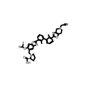 Cc1c(-c2nc3c(o2)CCN(CC#N)C3)cccc1-c1cccc(-c2nc3cc(CN4CCC[C@H]4C(=O)O)c(OC(F)F)cc3o2)c1C